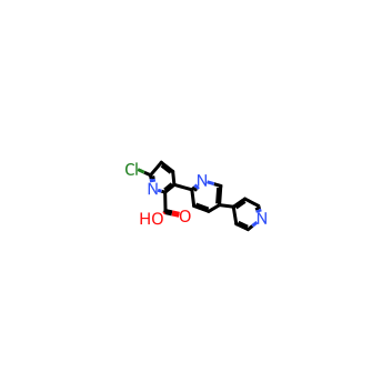 O=C(O)c1nc(Cl)ccc1-c1ccc(-c2ccncc2)cn1